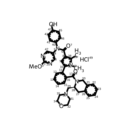 COc1ncc(N(C(=O)c2cc(-c3ccccc3C(=O)N3Cc4ccccc4C[C@H]3CN3CCOCC3)n(C)c2C)c2ccc(O)cc2)cn1.Cl